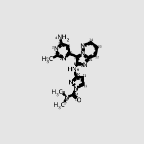 Cc1nc(N)cc(-c2c(Nc3ccn(C(=O)N(C)C)n3)nc3cccnn23)n1